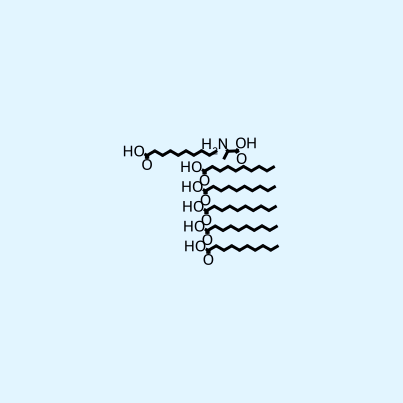 CC(N)C(=O)O.CCCCCCCCCC(=O)O.CCCCCCCCCC(=O)O.CCCCCCCCCC(=O)O.CCCCCCCCCC(=O)O.CCCCCCCCCC(=O)O.CCCCCCCCCC(=O)O